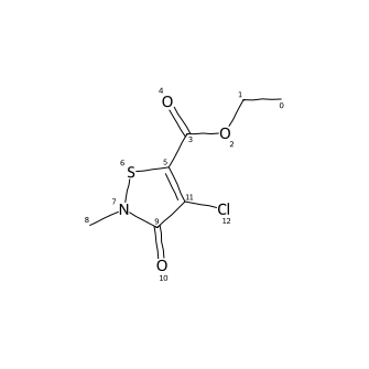 CCOC(=O)c1sn(C)c(=O)c1Cl